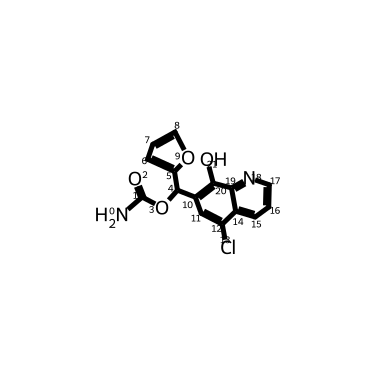 NC(=O)OC(c1ccco1)c1cc(Cl)c2cccnc2c1O